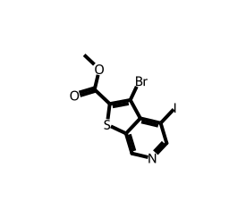 COC(=O)c1sc2cncc(I)c2c1Br